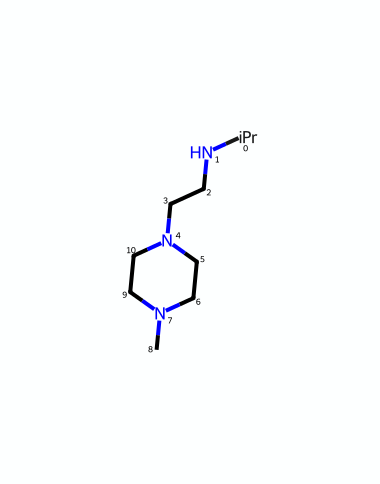 CC(C)NCCN1CCN(C)CC1